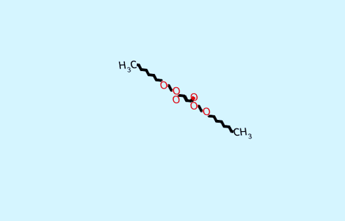 CCCCCCCCOCCOC(=O)/C=C/C(=O)OCCOCCCCCCCC